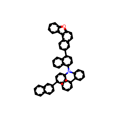 c1ccc(-c2ccccc2N(c2ccc(-c3ccc4ccccc4c3)cc2)c2ccc(-c3ccc4c(ccc5oc6ccccc6c54)c3)c3ccccc23)cc1